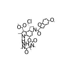 COC(=O)c1c(C)[nH]c2c(OC(=O)N(C)C(C)(C)C(=O)N(C)N)cc3c(c12)[C@H](CCl)CN3C(=O)c1cc2cc(OC)ccc2o1